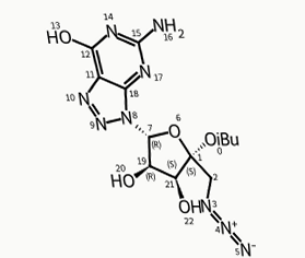 CC(C)CO[C@@]1(CN=[N+]=[N-])O[C@@H](n2nnc3c(O)nc(N)nc32)[C@H](O)[C@@H]1O